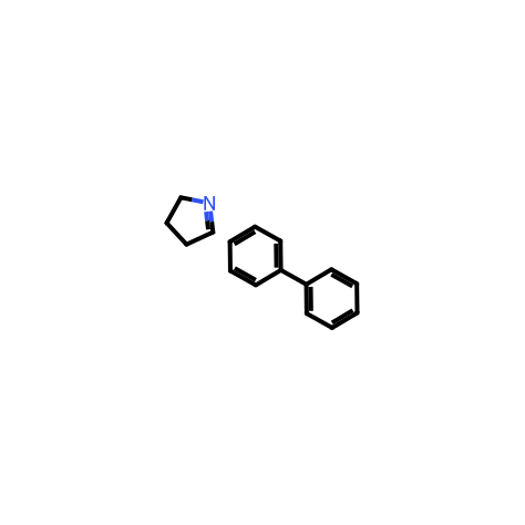 C1=NCCC1.c1ccc(-c2ccccc2)cc1